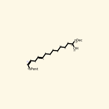 CCCCC/C=C\CC=CCCCCCCCC(O)CCCCCCCCCC